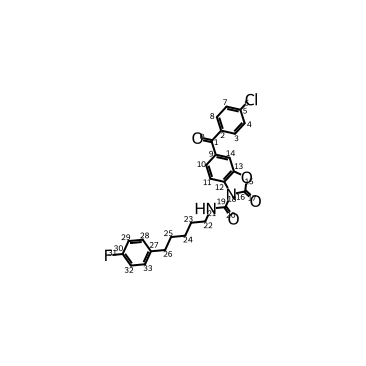 O=C(c1ccc(Cl)cc1)c1ccc2c(c1)oc(=O)n2C(=O)NCCCCCc1ccc(F)cc1